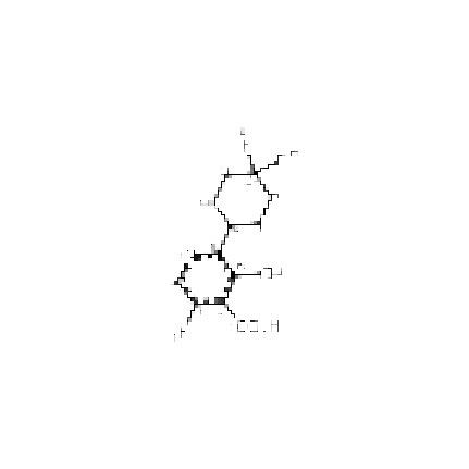 O=C(O)c1c(F)cnc(C2CCC(F)(F)CC2)c1Cl